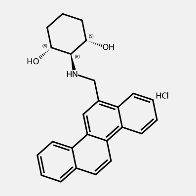 Cl.O[C@@H]1CCC[C@H](O)[C@H]1NCc1cc2c3ccccc3ccc2c2ccccc12